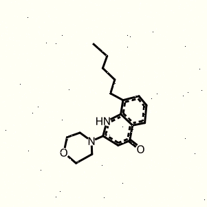 CCCCCc1cccc2c(=O)cc(N3CCOCC3)[nH]c12